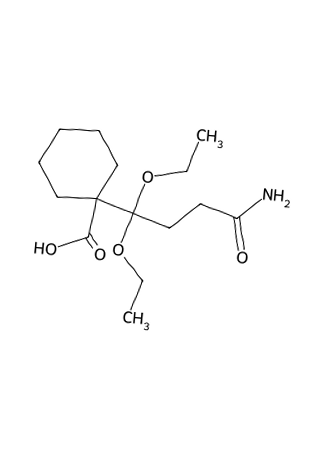 CCOC(CCC(N)=O)(OCC)C1(C(=O)O)CCCCC1